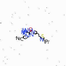 CC(C)c1csc(CCc2ccn3c(=O)c(-c4nnn[nH]4)c(N4CCC(C#N)CC4)nc3c2)n1